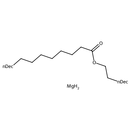 CCCCCCCCCCCCCCCCCC(=O)OCCCCCCCCCCCC.[MgH2]